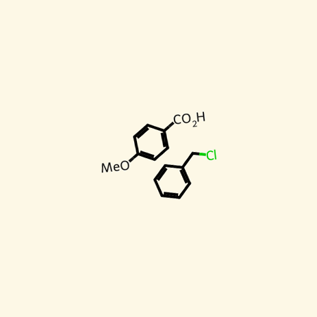 COc1ccc(C(=O)O)cc1.ClCc1ccccc1